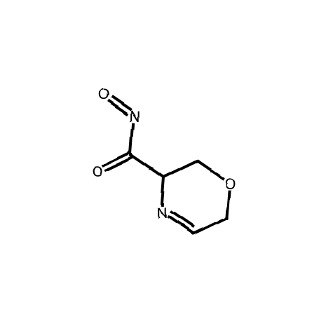 O=NC(=O)C1COCC=N1